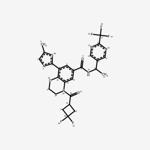 Cc1cnc(-c2cc(C(=O)NC(C)c3cnc(C(F)(F)F)nc3)cc3c2OCCN3C(=O)C2CC(F)(F)C2)s1